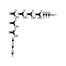 O=S.O=S.O=S.O=S.O=S.O=S.OC(=S)[S-].OC(=S)[S-].OC(=S)[S-].OC(=S)[S-].OC(=S)[S-].OC(=S)[S-].[Mo+6]